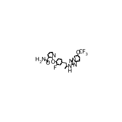 C=C(Cc1ccc(Oc2ncccc2C(N)=O)c(F)c1)Nc1nc2ccc(OC(F)(F)F)cn2n1